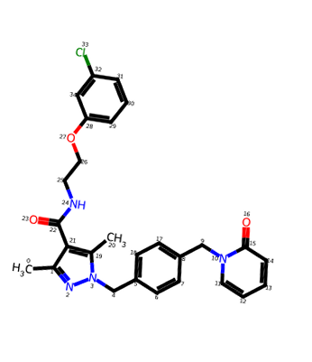 Cc1nn(Cc2ccc(Cn3ccccc3=O)cc2)c(C)c1C(=O)NCCOc1cccc(Cl)c1